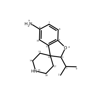 CC(C)C1Oc2ccc(N)cc2C12CCNCC2